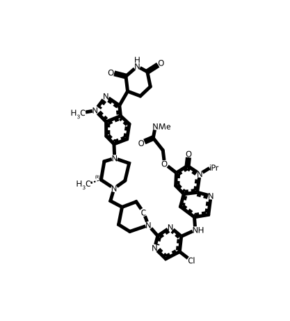 CNC(=O)COc1cc2cc(Nc3nc(N4CCC(CN5CCN(c6ccc7c(C8CCC(=O)NC8=O)nn(C)c7c6)C[C@H]5C)CC4)ncc3Cl)cnc2n(C(C)C)c1=O